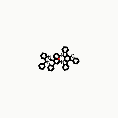 c1ccc(-c2cc(-n3c4ccccc4c4c5c6ccccc6oc5c5c6ccccc6n(-c6ccccc6)c5c43)ccc2-c2nc(-c3ccccc3)c3ccccc3n2)cc1